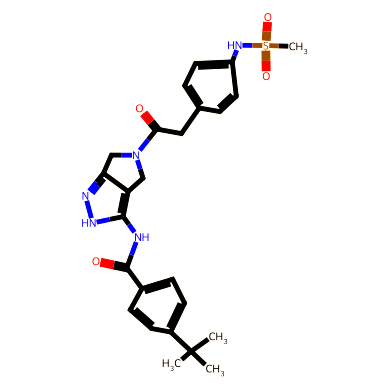 CC(C)(C)c1ccc(C(=O)Nc2[nH]nc3c2CN(C(=O)Cc2ccc(NS(C)(=O)=O)cc2)C3)cc1